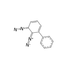 [N-]=[N+]=C1C=CC=C(c2ccccc2)C1=[N+]=[N-]